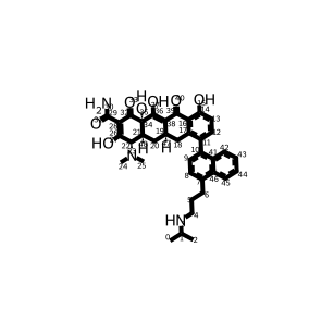 CC(C)NCCCc1ccc(-c2ccc(O)c3c2C[C@H]2C[C@H]4[C@H](N(C)C)C(O)=C(C(N)=O)C(=O)[C@@]4(O)C(O)=C2C3=O)c2ccccc12